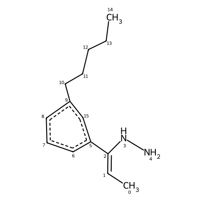 C/C=C(\NN)c1cccc(CCCCC)c1